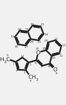 CC1=CC(C)=C(c2cc(=O)c3ccccc3o2)C1.c1ccc2ccccc2c1